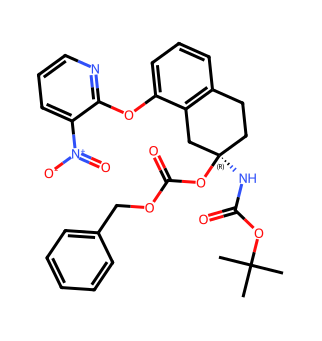 CC(C)(C)OC(=O)N[C@@]1(OC(=O)OCc2ccccc2)CCc2cccc(Oc3ncccc3[N+](=O)[O-])c2C1